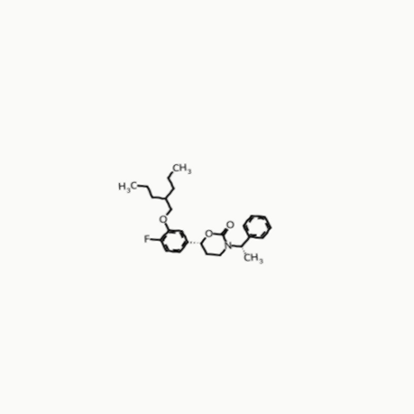 CCCC(CCC)COc1cc([C@H]2CCN([C@@H](C)c3ccccc3)C(=O)O2)ccc1F